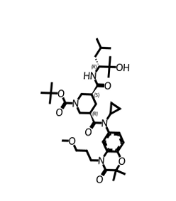 COCCCN1C(=O)C(C)(C)Oc2ccc(N(C(=O)[C@@H]3C[C@H](C(=O)N[C@H](CC(C)C)C(C)(C)O)CN(C(=O)OC(C)(C)C)C3)C3CC3)cc21